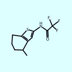 CC1CCCc2sc(NC(=O)C(F)(F)F)cc21